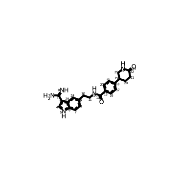 N=C(N)c1c[nH]c2ccc(CCNC(=O)c3ccc(C4CCC(=O)NC4)cc3)cc12